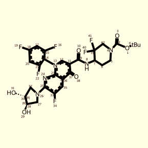 CC(C)(C)OC(=O)N1CCC(NC(=O)c2cn(-c3c(F)cc(F)cc3F)c3nc(N4C[C@@H](O)[C@H](O)C4)c(F)cc3c2=O)C(F)(F)C1